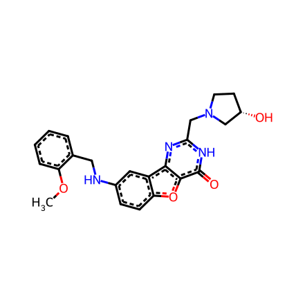 COc1ccccc1CNc1ccc2oc3c(=O)[nH]c(CN4CC[C@H](O)C4)nc3c2c1